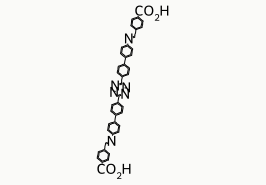 O=C(O)c1ccc(/C=N/c2ccc(-c3ccc(-c4nnc(-c5ccc(-c6ccc(/N=C/c7ccc(C(=O)O)cc7)cc6)cc5)nn4)cc3)cc2)cc1